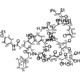 CCOc1ccc(NC(=O)Cc2cc(O)c3c(c2)[C@@H](C(=O)CC2C4CC5CC(C4)CC2C5)NC(=O)[C@H]2NC(=O)[C@H](CC(=O)[C@@H]4NC(=O)[C@H](CC(N)=O)CC(=O)[C@H](NC(=O)[C@H](CC)CC(C)C)[C@H](O)c5ccc(c(Cl)c5)Oc5cc4cc(c5O[C@@H]4O[C@H](CO)[C@@H](O)[C@H](O)[C@H]4O)Oc4ccc(cc4Cl)[C@H]2O)c2ccc(O)c-3c2)cc1